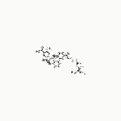 Cc1cc2c(cc1C(=O)O)NC(=O)/C2=C(/Nc1ccc(C(=O)NOCCN2CCC(N(C)C)C2)cc1)c1ccccc1